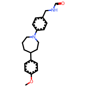 COc1ccc(C2CCCN(c3ccc(CNC=O)cc3)CC2)cc1